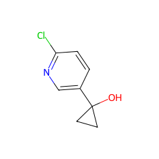 OC1(c2ccc(Cl)nc2)CC1